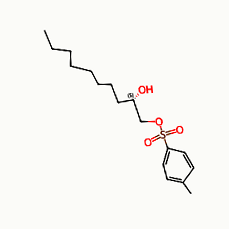 CCCCCCCC[C@H](O)COS(=O)(=O)c1ccc(C)cc1